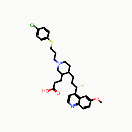 COc1ccc2nccc([C@@H](F)CCC3CCN(CCCSc4ccc(Cl)cc4)CC3CCC(=O)O)c2c1